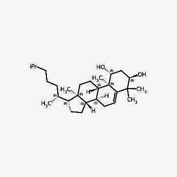 CC(C)CCC[C@@H](C)[C@H]1CC[C@H]2[C@@H]3CC=C4C(C)(C)[C@H](O)C[C@@H](O)[C@]4(C)[C@H]3CC[C@]12C